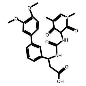 COc1ccc(-c2cccc(C(CC(=O)O)NC(=O)NC3C(=O)C(C)=CN(C)C3=O)c2)cc1OC